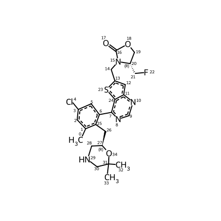 Cc1cc(Cl)cc(-c2ncnc3cc(CN4C(=O)OC[C@@H]4CF)sc23)c1C[C@@H]1CNCC(C)(C)O1